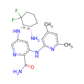 Cc1cc(C)nc(Nc2cc(N[C@H]3[C@@H](N)CCCC3(F)F)cnc2C(N)=O)c1